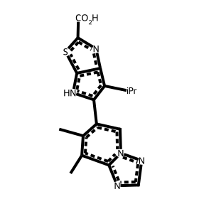 Cc1c(-c2[nH]c3sc(C(=O)O)nc3c2C(C)C)cn2ncnc2c1C